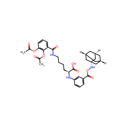 CC(=O)Oc1cccc(C(=O)NCCCC[C@H](Nc2cccc(C(=O)ON[C@]34C[C@H]5C[C@H](C[C@H](C5)C3)C4)c2)C(=O)O)c1OC(C)=O